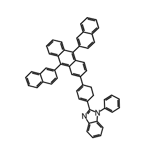 C1=C(c2ccc3c(-c4ccc5ccccc5c4)c4ccccc4c(-c4ccc5ccccc5c4)c3c2)CCC(c2nc3ccccc3n2-c2ccccc2)=C1